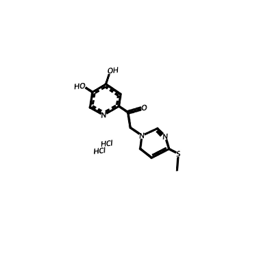 CSC1=CCN(CC(=O)c2cc(O)c(O)cn2)C=N1.Cl.Cl